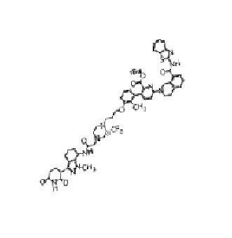 Cc1c(OCCCN2CCN(CC(=O)Nc3cccc4c(C5CCC(=O)NC5=O)nn(C)c34)C[C@H]2C(F)(F)F)cccc1-c1ccc(N2CCc3cccc(C(=O)Nc4nc5ccccc5s4)c3C2)nc1C(=O)OC(C)(C)C